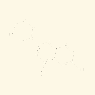 Nc1cc2c(N)nc(C3CCCNC3)cc2cn1